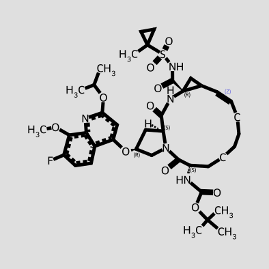 COc1c(F)ccc2c(O[C@@H]3C[C@H]4C(=O)N[C@]5(C(=O)NS(=O)(=O)C6(C)CC6)CC5/C=C\CCCCC[C@H](NC(=O)OC(C)(C)C)C(=O)N4C3)cc(OC(C)C)nc12